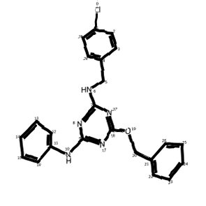 Clc1ccc(CNc2nc(Nc3ccccc3)nc(OCc3ccccc3)n2)cc1